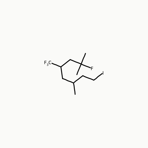 CC(CCI)CC(CC(C)(C)F)C(F)(F)F